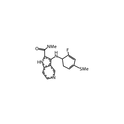 CNC(=O)c1[nH]c2ccncc2c1NC1CC=C(SC)C=C1F